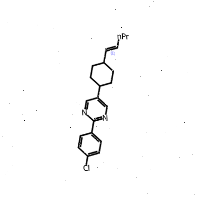 CCC/C=C/C1CCC(c2cnc(-c3ccc(Cl)cc3)nc2)CC1